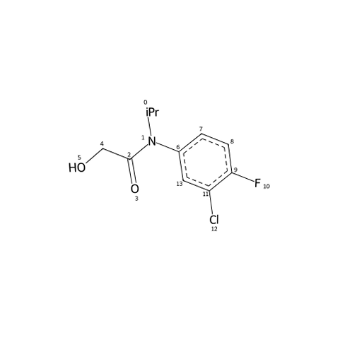 CC(C)N(C(=O)CO)c1ccc(F)c(Cl)c1